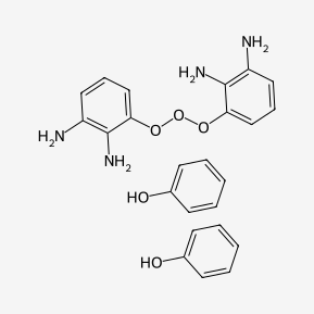 Nc1cccc(OOOc2cccc(N)c2N)c1N.Oc1ccccc1.Oc1ccccc1